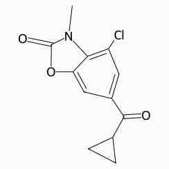 Cn1c(=O)oc2cc(C(=O)C3CC3)cc(Cl)c21